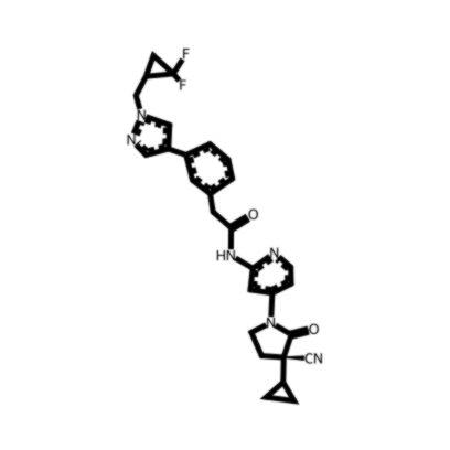 N#C[C@@]1(C2CC2)CCN(c2ccnc(NC(=O)Cc3cccc(-c4cnn(CC5CC5(F)F)c4)c3)c2)C1=O